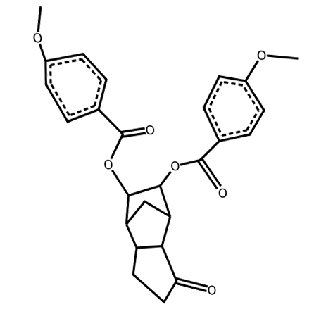 COc1ccc(C(=O)OC2C3CC(C2OC(=O)c2ccc(OC)cc2)C2C(=O)CCC32)cc1